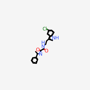 O=C(NCCc1c[nH]c2ccc(Cl)cc12)C1=NC(c2ccccc2)CO1